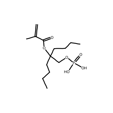 C=C(C)C(=O)OC(CCCC)(CCCC)COP(=O)(O)O